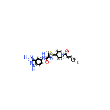 Nc1n[nH]c2ccc(NC(=O)c3csc(C4CCN(C(=O)CCC(F)(F)F)CC4)n3)cc12